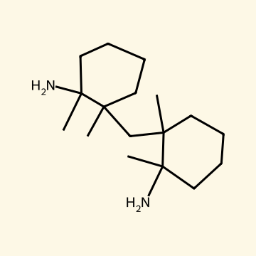 CC1(N)CCCCC1(C)CC1(C)CCCCC1(C)N